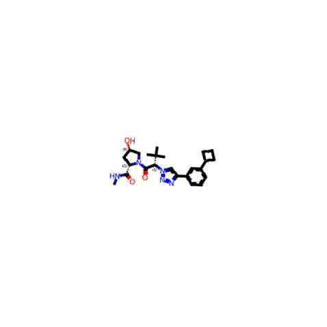 CNC(=O)[C@@H]1C[C@@H](O)CN1C(=O)[C@@H](n1cc(-c2cccc(C3CCC3)c2)nn1)C(C)(C)C